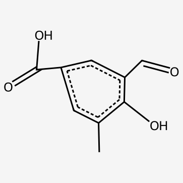 Cc1cc(C(=O)O)cc(C=O)c1O